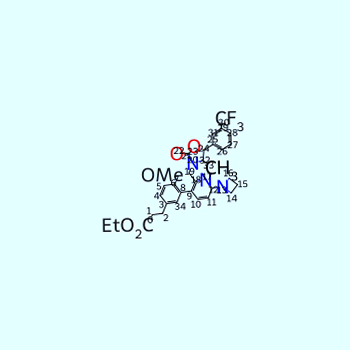 CCOC(=O)CCc1ccc(OC)c(-c2ccc(N3CCC3)nc2CN2C(=O)OC(c3cccc(C(F)(F)F)c3)C2C)c1